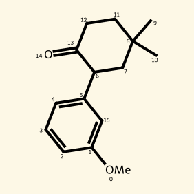 COc1cccc(C2CC(C)(C)CCC2=O)c1